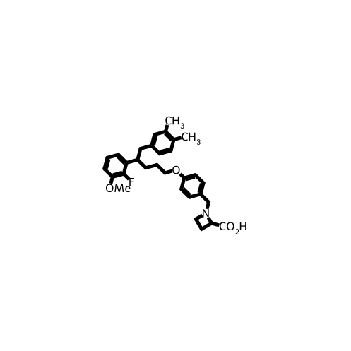 COc1cccc(C(CCCOc2ccc(CN3CCC3C(=O)O)cc2)Cc2ccc(C)c(C)c2)c1F